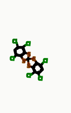 Clc1cc(Cl)c2c(c1Cl)SC1(S2)Sc2c(Cl)cc(Cl)c(Cl)c2S1